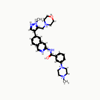 CN1CCN(c2cccc(C(=O)Nc3cc4cc(-c5cnn(C)c5CN5CCOCC5)ccc4cn3)c2)CC1